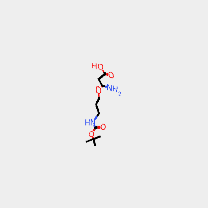 CC(C)(C)OC(=O)NCCCOC(N)CC(=O)O